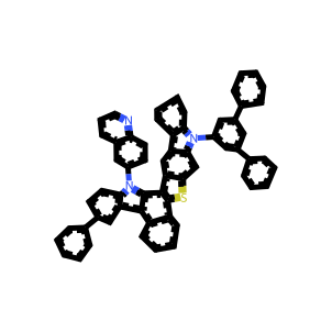 c1ccc(-c2cc(-c3ccccc3)cc(-n3c4ccccc4c4cc5c(cc43)sc3c4ccccc4c4c6cc(-c7ccccc7)ccc6n(-c6ccc7ncccc7c6)c4c53)c2)cc1